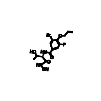 C=CCOc1c(F)cc(C(=O)N[C@H](C(=O)NO)[C@@H](C)O)cc1Br